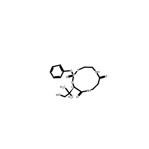 CC(C)(CO)[C@H]1OP(=O)(Oc2ccccc2)SCCNC(=O)CCNC1=O